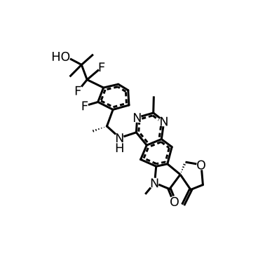 C=C1COC[C@@]12C(=O)N(C)c1cc3c(N[C@H](C)c4cccc(C(F)(F)C(C)(C)O)c4F)nc(C)nc3cc12